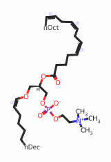 CCCCCCCC/C=C\C/C=C\C/C=C\CCCC(=O)O[C@H](CO/C=C\CCCCCCCCCCCCCC)COP(=O)([O-])OCC[N+](C)(C)C